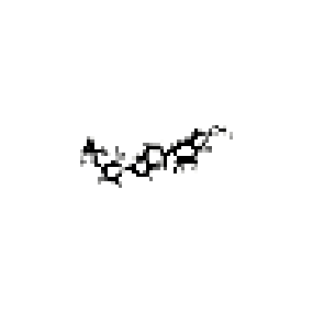 Cn1cc2cc(-c3ccc4nc(N5CC[C@H](NC6(C)CC6)C5)ccc4n3)c(O)c(F)c2n1